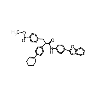 COC(=O)c1ccc(CC(C(=O)Nc2ccc(-c3cc4ccccc4o3)cc2)c2ccc(C3=CCCCC3)cc2)cc1